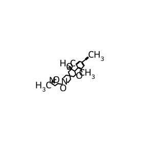 CC#Cc1cc(C)c(C2C(=O)CC3(CCN(C(=O)C4CC(C)=NO4)CC3)CC2=O)c(C)c1